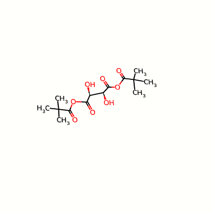 CC(C)(C)C(=O)OC(=O)[C@@H](O)[C@H](O)C(=O)OC(=O)C(C)(C)C